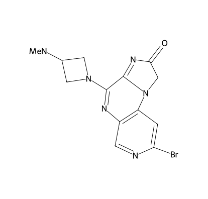 CNC1CN(C2=Nc3cnc(Br)cc3N3CC(=O)N=C23)C1